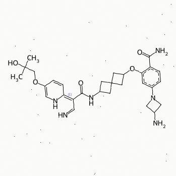 CC(C)(O)COC1=CN/C(=C(\C=N)C(=O)NC2CC3(C2)CC(Oc2cc(N4CC(N)C4)ccc2C(N)=O)C3)C=C1